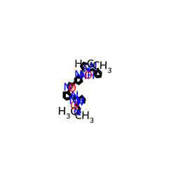 CN(C)CC(=O)N1CCC[C@H]1c1nc2c(-c3ncc(-c4ccc5[nH]c([C@@H]6CCCN6C(=O)[C@@H](c6ccccc6)N(C)C)nc5c4)o3)cccc2[nH]1